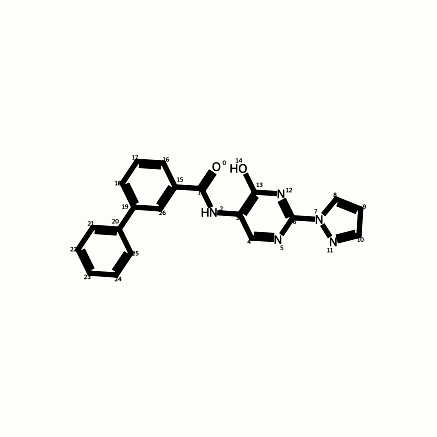 O=C(Nc1cnc(-n2cccn2)nc1O)c1cccc(-c2ccccc2)c1